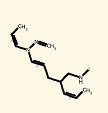 C=NN(/C=C\C)/C=C/CC(/C=C\C)CNI